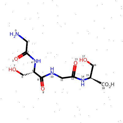 NCC(=O)N[C@@H](CO)C(=O)NCC(=O)N[C@@H](CO)C(=O)O